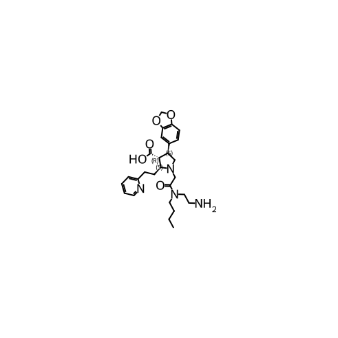 CCCCN(CCN)C(=O)CN1C[C@H](c2ccc3c(c2)OCO3)[C@@H](C(=O)O)[C@@H]1CCc1ccccn1